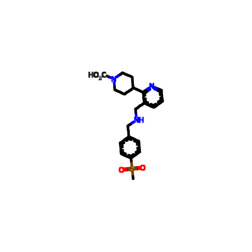 CS(=O)(=O)c1ccc(CNCc2cccnc2C2CCN(C(=O)O)CC2)cc1